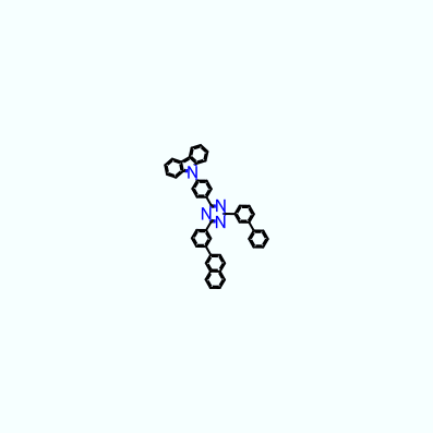 c1ccc(-c2cccc(-c3nc(-c4ccc(-n5c6ccccc6c6ccccc65)cc4)nc(-c4cccc(-c5ccc6ccccc6c5)c4)n3)c2)cc1